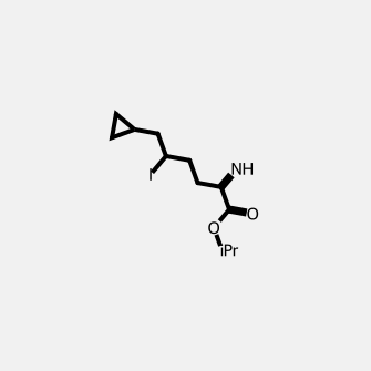 CC(C)OC(=O)C(=N)CCC(I)CC1CC1